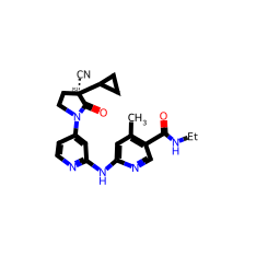 CCNC(=O)c1cnc(Nc2cc(N3CC[C@@](C#N)(C4CC4)C3=O)ccn2)cc1C